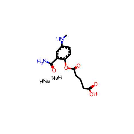 CNc1ccc(OC(=O)CCCC(=O)O)c(C(N)=O)c1.[NaH].[NaH]